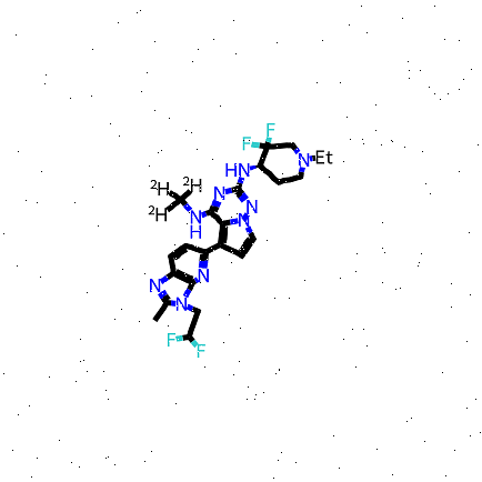 [2H]C([2H])([2H])Nc1nc(N[C@@H]2CCN(CC)CC2(F)F)nn2ccc(-c3ccc4nc(C)n(CC(F)F)c4n3)c12